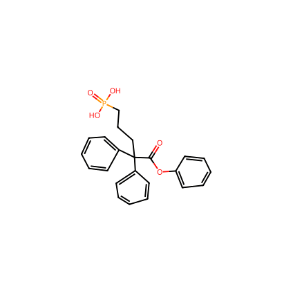 O=C(Oc1ccccc1)C(CCCP(=O)(O)O)(c1ccccc1)c1ccccc1